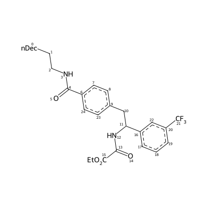 CCCCCCCCCCCCNC(=O)c1ccc(CC(NC(=O)C(=O)OCC)c2cccc(C(F)(F)F)c2)cc1